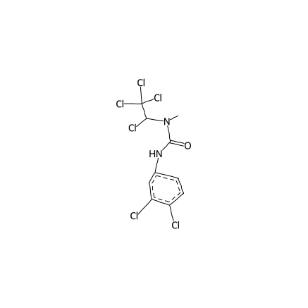 CN(C(=O)Nc1ccc(Cl)c(Cl)c1)C(Cl)C(Cl)(Cl)Cl